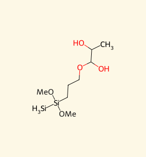 CO[Si]([SiH3])(CCCOC(O)C(C)O)OC